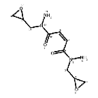 NN(CC1CO1)C(=O)/C=C\C(=O)N(N)CC1CO1